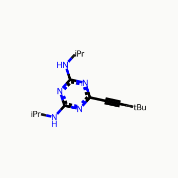 CC(C)Nc1nc(C#CC(C)(C)C)nc(NC(C)C)n1